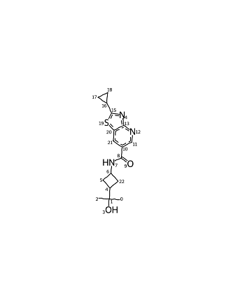 CC(C)(O)C1CC(NC(=O)c2cnc3nc(C4CC4)sc3c2)C1